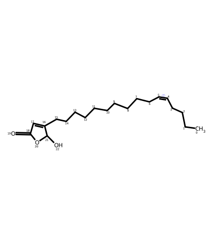 CCCC/C=C\CCCCCCCCCCC1=CC(=O)OC1O